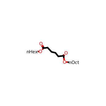 CCCCCCCCOC(=O)CCCCC(=O)OCCCCCC